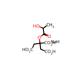 CC(O)C(=O)OC(CC(=O)O)(CC(=O)O)C(=O)O.[NaH]